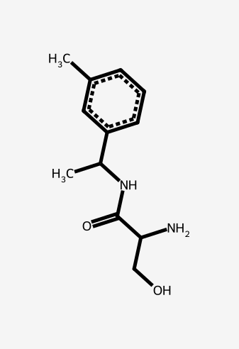 Cc1cccc(C(C)NC(=O)C(N)CO)c1